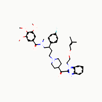 COc1cc(C(=O)N(C)CC(CCN2CCC(C(=O)c3nc4ccccc4n3CCOCC=C(C)C)CC2)c2ccc(F)cc2)cc(OC)c1OC